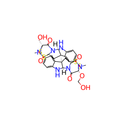 CN1C(=O)[C@@]23C[C@]4(C56C[C@@]78SS[C@](OCO)(C(=O)N7[C@H]5Nc5ccccc56)N(C)C8=O)c5ccccc5N[C@@H]4N2C(=O)[C@@]1(CO)SS3